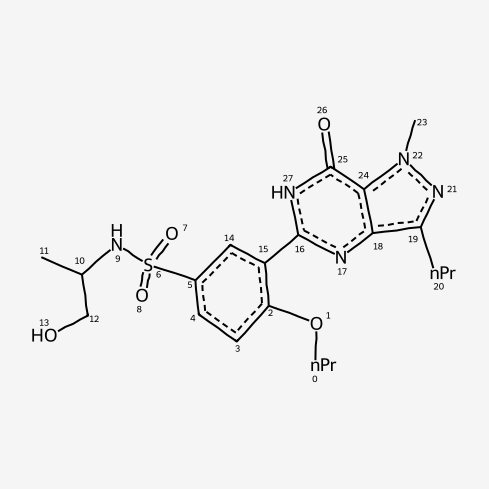 CCCOc1ccc(S(=O)(=O)NC(C)CO)cc1-c1nc2c(CCC)nn(C)c2c(=O)[nH]1